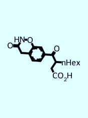 CCCCCCC(CC(=O)O)C(=O)c1ccc2c(c1)ONC(=O)C2